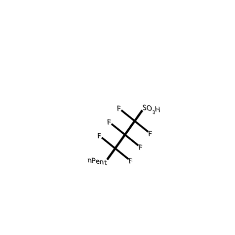 CCCCCC(F)(F)C(F)(F)C(F)(F)S(=O)(=O)O